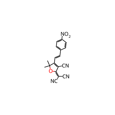 CC1(C)OC(=C(C#N)C#N)C(C#N)=C1/C=C/c1ccc([N+](=O)[O-])cc1